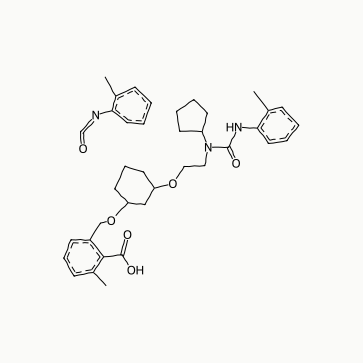 Cc1ccccc1N=C=O.Cc1ccccc1NC(=O)N(CCOC1CCCC(OCc2cccc(C)c2C(=O)O)C1)C1CCCC1